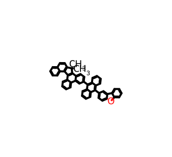 CC1(C)c2ccc3ccccc3c2-c2c1c1ccc(-c3c4ccccc4c(-c4ccc5oc6ccccc6c5c4)c4ccccc34)cc1c1ccccc21